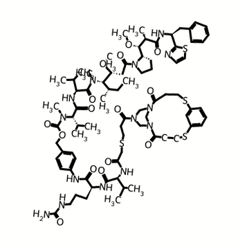 CC[C@H](C)[C@@H]([C@@H](CC(=O)N1CCC[C@H]1[C@H](OC)[C@@H](C)C(=O)N[C@@H](Cc1ccccc1)c1nccs1)OC)N(C)C(=O)[C@@H](NC(=O)[C@H](C(C)C)N(C)C(=O)OCc1ccc(NC(=O)[C@H](CCCNC(N)=O)NC(=O)[C@@H](NC(=O)CSCCC(=O)N2CN3CN(C2)C(=O)CCSc2cccc(c2)SCCC3=O)C(C)C)cc1)C(C)C